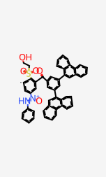 O=C(c1cc(-c2cc3ccccc3c3ccccc23)cc(-c2cc3ccccc3c3ccccc23)c1)c1cc([N+](=O)Nc2ccccc2)c[c]c1S(=O)(=O)CCO